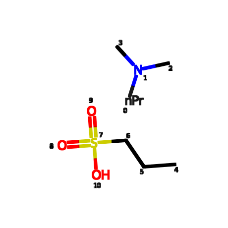 CCCN(C)C.CCCS(=O)(=O)O